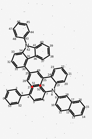 c1ccc(-c2ccc(N(c3ccc4ccccc4c3)c3ccccc3-c3cccc(-c4cccc5c4c4ccccc4n5-c4ccccc4)c3)cc2)cc1